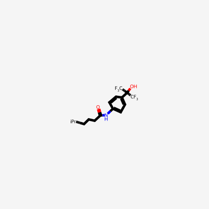 CC(C)CCCC(=O)Nc1ccc(C(O)(C(F)(F)F)C(F)(F)F)cc1